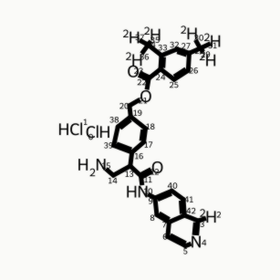 Cl.Cl.[2H]c1nccc2cc(NC(=O)C(CN)c3ccc(COC(=O)c4ccc(C([2H])([2H])[2H])cc4C([2H])([2H])[2H])cc3)ccc12